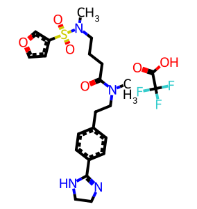 CN(CCc1ccc(C2=NCCN2)cc1)C(=O)CCCN(C)S(=O)(=O)c1ccoc1.O=C(O)C(F)(F)F